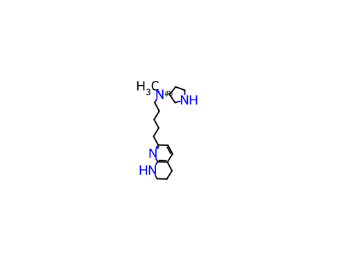 CN(CCCCCc1ccc2c(n1)NCCC2)[C@@H]1CCNC1